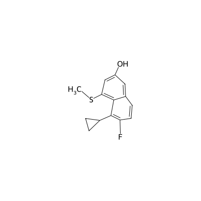 CSc1cc(O)cc2ccc(F)c(C3CC3)c12